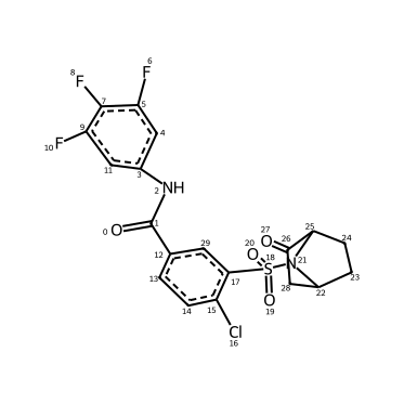 O=C(Nc1cc(F)c(F)c(F)c1)c1ccc(Cl)c(S(=O)(=O)N2C3CCC2C(=O)C3)c1